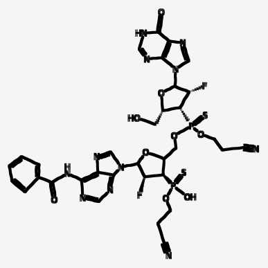 N#CCCOP(O)(=S)[C@@H]1C(COP(=S)(OCCC#N)[C@@H]2[C@H](CO)OC(n3cnc4c(=O)[nH]cnc43)[C@@H]2F)OC(n2cnc3c(NC(=O)c4ccccc4)ncnc32)[C@@H]1F